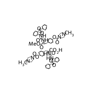 CN1CCN(C(=O)Oc2ccc(C[C@H](NC(=O)Nc3ccccc3S(=O)(=O)c3ccccc3)C(=O)O)cc2)CC1.COC(=O)[C@H](Cc1ccc(OC(=O)N2CCN(C)CC2)cc1)NC(=O)Nc1ccccc1S(=O)(=O)c1ccccc1